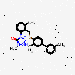 Cc1cccc(-c2ccc(SCc3c(C)cccc3N3NNN(C)C3=O)c(C)c2)c1